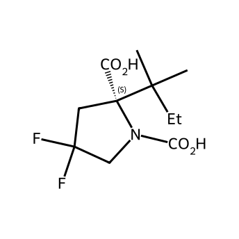 CCC(C)(C)[C@]1(C(=O)O)CC(F)(F)CN1C(=O)O